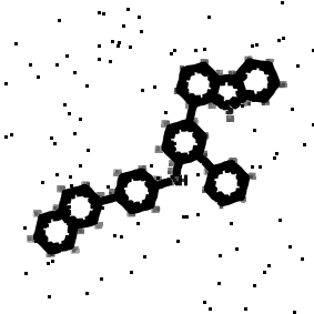 c1ccc(-c2cc(-c3cccc4c3sc3ccccc34)ccc2Nc2ccc(-c3ccc4ccccc4c3)cc2)cc1